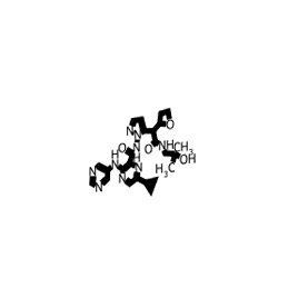 CC(C)(O)CNC(=O)C(c1ccnn1NC(=O)c1nc(C2CC2)cnc1Nc1cncnc1)C1CCO1